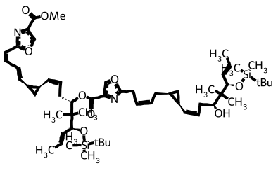 C/C=C/[C@H](O[Si](C)(C)C(C)(C)C)C(C)(C)[C@H](C/C=C\[C@H]1C[C@H]1/C=C/C=C\c1nc(C(=O)OC)co1)OC(=O)c1coc(C/C=C\C[C@H]2C[C@H]2/C=C\C[C@H](O)C(C)(C)[C@H](/C=C/C)O[Si](C)(C)C(C)(C)C)n1